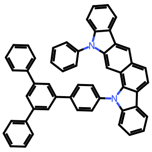 c1ccc(-c2cc(-c3ccccc3)cc(-c3ccc(-n4c5ccccc5c5ccc6cc7c8ccccc8n(-c8ccccc8)c7cc6c54)cc3)c2)cc1